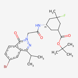 CC(C)c1nn(CC(=O)N[C@H]2CC(C(=O)OC(C)(C)C)CC(C)(F)C2)c(=O)c2ccc(Br)cc12